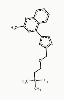 Cc1cc(-c2cnn(COCC[Si](C)(C)C)c2)c2ccccc2n1